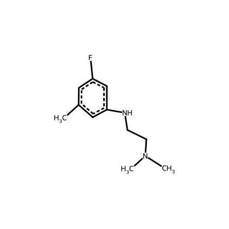 Cc1cc(F)cc(NCCN(C)C)c1